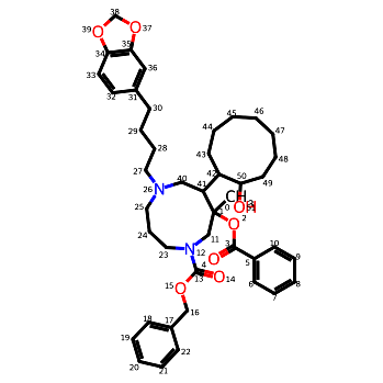 CC1(OC(=O)c2ccccc2)CN(C(=O)OCc2ccccc2)CCCN(CCCCc2ccc3c(c2)OCO3)CC1C1CCCCCCCC1O